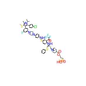 CSc1c(-c2cc(F)cc(N3CCN(c4ccc(NSc5ccc(N[C@H](CCN6CCC(C(=O)OCCC[PH](=O)O)CC6)CSc6ccccc6)c(C(=O)C(F)(F)F)c5)cc4)CC3)c2)c(-c2ccc(Cl)cc2)n(C(C)C)c1C